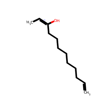 C=CCCCCCCC/C(O)=C\C